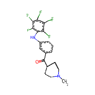 CN1CCC(C(=O)c2cccc(Nc3c(F)c(F)c(F)c(F)c3F)c2)CC1